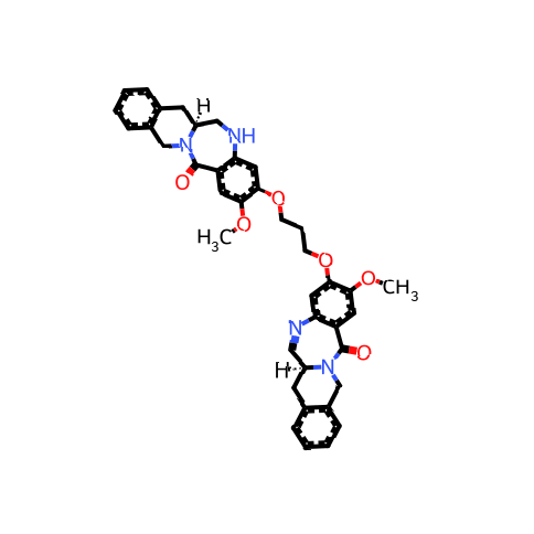 COc1cc2c(cc1OCCCOc1cc3c(cc1OC)C(=O)N1Cc4ccccc4C[C@H]1CN3)N=C[C@@H]1Cc3ccccc3CN1C2=O